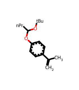 C=C(C)c1ccc(OC(CCC)OC(C)(C)C)cc1